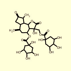 C=C1CC(OC(=O)C2(O)CC(O)C(O)C(O)C2)C2C(OC(=O)C2(O)COC(=O)C2(O)CC(O)C(O)C(O)C2)C2C(C)C(=O)CC12